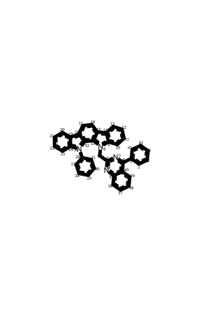 c1ccc(-c2nc(Cn3c4ccccc4c4ccc5c6ccccc6n(-c6ccccc6)c5c43)nc3ccccc23)cc1